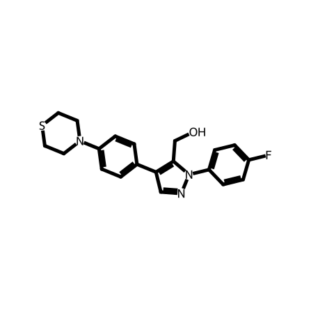 OCc1c(-c2ccc(N3CCSCC3)cc2)cnn1-c1ccc(F)cc1